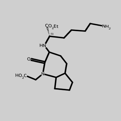 CCOC(=O)[C@H](CCCCN)NC1CCC2CCCC2N(CC(=O)O)C1=O